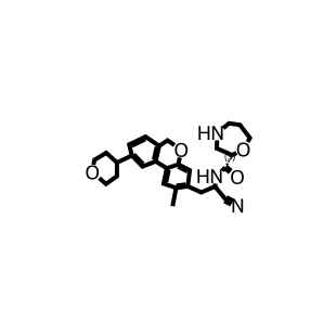 Cc1cc2c(cc1CC(C#N)NC(=O)[C@@H]1CNCCCO1)OCc1ccc(C3CCOCC3)cc1-2